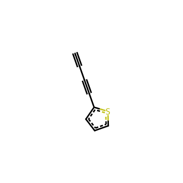 [C]#CC#Cc1cccs1